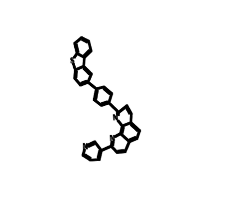 c1cncc(-c2ccc3ccc4ccc(-c5ccc(-c6ccc7sc8ccccc8c7c6)cc5)nc4c3n2)c1